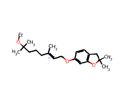 CCOC(C)(C)CCC/C(C)=C/COc1ccc2c(c1)OC(C)(C)C2